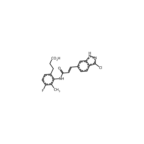 Cc1c(F)ccc(CCC(=O)O)c1NC(=O)/C=C/c1ccc2c(Cl)n[nH]c2c1